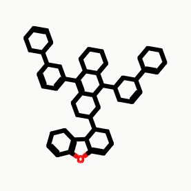 C1=CC(C2CC=CCC2)CC(C2=C3CCC(C4CCC=C5OC6=C(CCC=C6)C54)CC3C(C3CC=CC(C4=CCCCC4)C3)C3CCCCC23)=C1